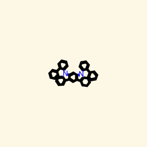 c1ccc(-c2ccccc2-n2c3c(c4cc5c6ccccc6n(-c6ccccc6-c6ccccc6)c5cc42)CCCC3)cc1